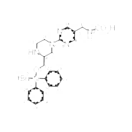 CC(C)(C)[Si](OCC1CN(c2ncc(CNC(=O)O)cn2)CCN1)(c1ccccc1)c1ccccc1